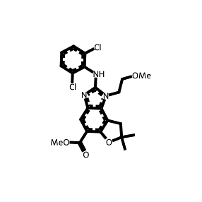 COCCn1c(Nc2c(Cl)cccc2Cl)nc2cc(C(=O)OC)c3c(c21)CC(C)(C)O3